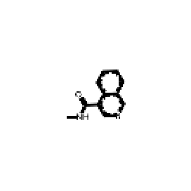 CNC(=O)c1cncc2ccccc12